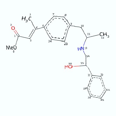 COC(=O)C=C(C)c1ccc(CC(C)NCC(O)c2ccccc2)cc1